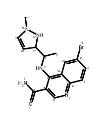 CC(Nc1c(C(N)=O)cnc2ccc(Br)cc12)C1C=CN(C)N1